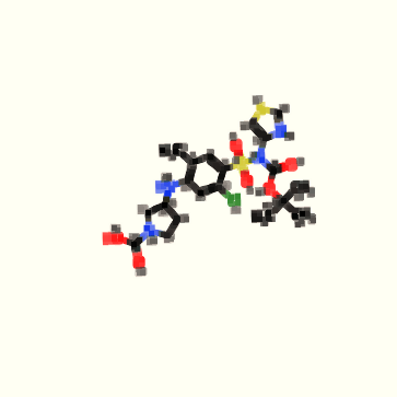 Cc1cc(S(=O)(=O)N(C(=O)OC(C)(C)C)c2cscn2)c(Cl)cc1N[C@H]1CCN(C(=O)O)C1